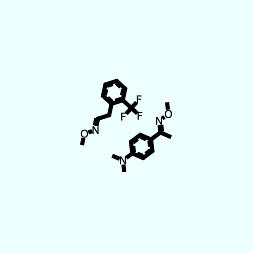 CON=C(C)c1ccc(N(C)C)cc1.CON=CCc1ccccc1C(F)(F)F